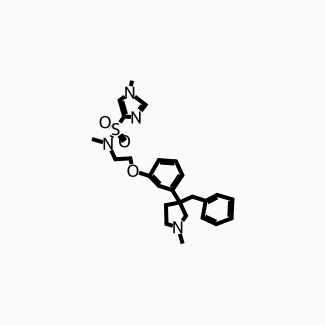 CN1CCC(Cc2ccccc2)(c2cccc(OCCN(C)S(=O)(=O)c3cn(C)cn3)c2)C1